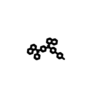 Cc1ccc(-c2ccc(N(c3ccc(N(c4ccccc4)c4cccc5ccccc45)cc3)c3cccc4ccccc34)cc2)cc1